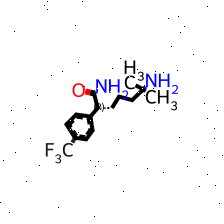 CC(C)(N)CCC[C@@H](C(N)=O)c1ccc(C(F)(F)F)cc1